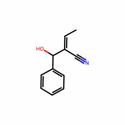 CC=C(C#N)C(O)c1ccccc1